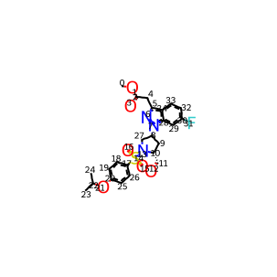 COC(=O)Cc1nn([C@@H]2C[C@H](C=O)N(S(=O)(=O)c3ccc(OC(C)C)cc3)C2)c2cc(F)ccc12